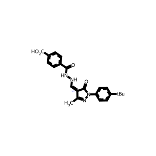 CC1=NN(c2ccc(C(C)(C)C)cc2)C(=O)/C1=C\NNC(=O)c1ccc(C(=O)O)cc1